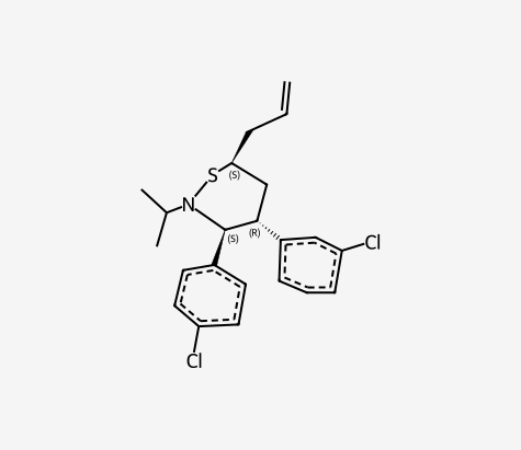 C=CC[C@H]1C[C@H](c2cccc(Cl)c2)[C@@H](c2ccc(Cl)cc2)N(C(C)C)S1